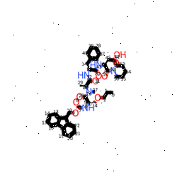 CCCOC[C@H](NC(=O)OCC1c2ccccc2-c2ccccc21)C(=O)N(C)[C@@H](C)C(=O)N[C@@H](Cc1ccccc1)C(=O)N[C@@H](CC(=O)O)C(=O)N1CCCCC1